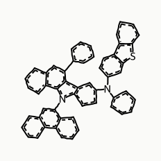 c1ccc(-c2cc3ccccc3c3c2c2cc(N(c4ccccc4)c4ccc5c(c4)sc4ccccc45)ccc2n3-c2cc3ccccc3c3ccccc23)cc1